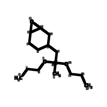 CCCO[Si](C)(CC1CCC2OC2C1)OCCC